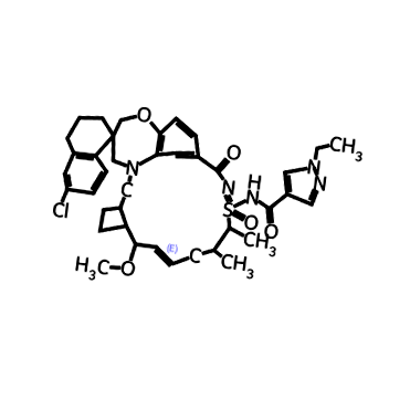 CCn1cc(C(=O)NS2(=O)=NC(=O)c3ccc4c(c3)N(CC3CCC3C(OC)/C=C/CC(C)C2C)CC2(CCCc3cc(Cl)ccc32)CO4)cn1